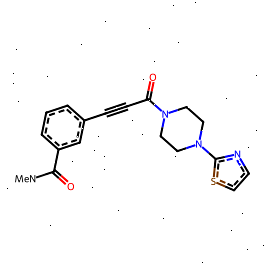 CNC(=O)c1cccc(C#CC(=O)N2CCN(c3nccs3)CC2)c1